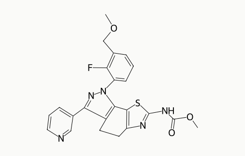 COCc1cccc(-n2nc(-c3cccnc3)c3c2-c2sc(NC(=O)OC)nc2CC3)c1F